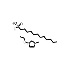 CCCCCCCCCCCCS(=O)(=O)O.CCON1C=CN(C)C1